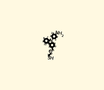 Nc1ccc(-n2c3ccccc3c3cc(COCCS)ccc32)cc1